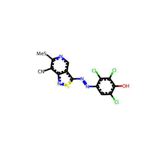 [C-]#[N+]c1c(SC)ncc2c(/N=N/c3cc(Cl)c(O)c(Cl)c3Cl)snc12